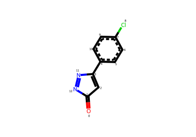 O=C1C=C(c2ccc(Cl)cc2)N=N1